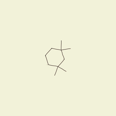 CC1(C)[CH]CCC(C)(C)C1